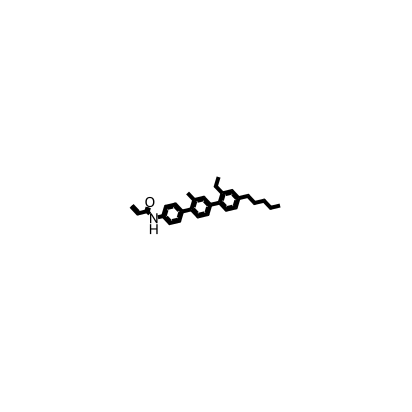 C=CC(=O)Nc1ccc(-c2ccc(-c3ccc(CCCCC)cc3CC)cc2C)cc1